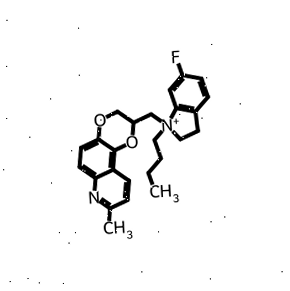 CCCC[N+]1(CC2COc3ccc4nc(C)ccc4c3O2)CCc2ccc(F)cc21